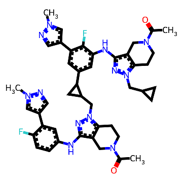 CC(=O)N1CCc2c(c(Nc3ccc(F)c(-c4cnn(C)c4)c3)nn2CC2CC2c2cc(Nc3nn(CC4CC4)c4c3CN(C(C)=O)CC4)c(F)c(-c3cnn(C)c3)c2)C1